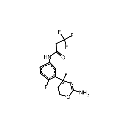 C[C@]1(c2cc(NC(=O)CC(F)(F)F)ccc2F)CCOC(N)=N1